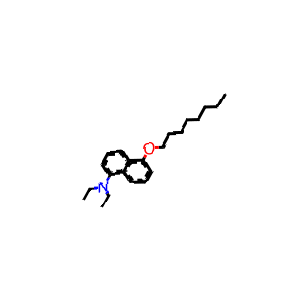 CCCCCCCCOc1cccc2c(N(CC)CC)cccc12